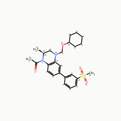 CC(=O)N1c2ccc(-c3cccc(S(C)(=O)=O)c3)cc2N(COC2CCCCC2)C[C@@H]1C